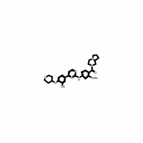 COc1cc(Nc2nccc(-c3ccc(OC4CCOCC4)c(C#N)c3)n2)ccc1C(=O)N1CCN2CCCC2C1